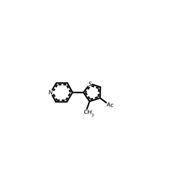 CC(=O)c1csc(-c2ccncc2)c1C